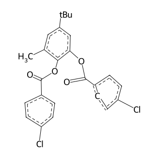 Cc1cc(C(C)(C)C)cc(OC(=O)c2ccc(Cl)cc2)c1OC(=O)c1ccc(Cl)cc1